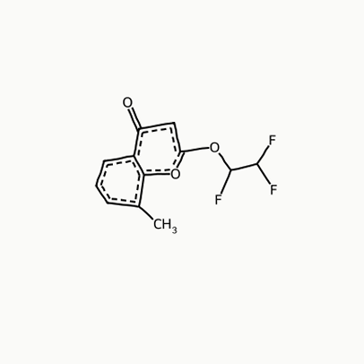 Cc1cccc2c(=O)cc(OC(F)C(F)F)oc12